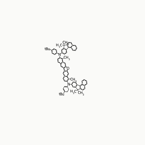 Cc1c(N(C2=CC=C(C(C)(C)C)CC2)c2ccc3c(c2)C(C)(C)c2ccc4ccccc4c2-3)ccc2cc3c(cc12)oc1cc2c(C)c(N(c4ccc(C(C)(C)C)cc4)c4ccc5c(c4)C(C)(C)c4ccc6ccccc6c4-5)ccc2cc13